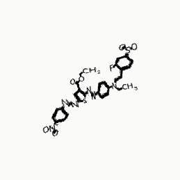 CCOC(=O)c1cc(N=Nc2ccc([N+](=O)[O-])cc2)sc1N=Nc1ccc(N(CC)CCC2=CCC(=S(=O)=O)C=C2F)cc1